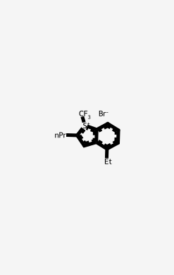 CCCc1cc2c(CC)cccc2[s+]1C(F)(F)F.[Br-]